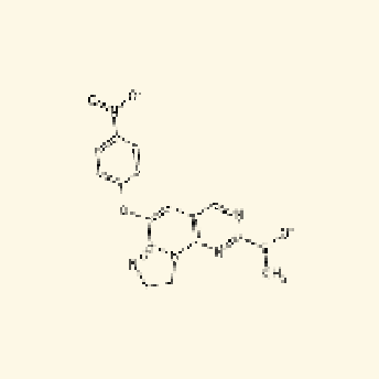 C[S+]([O-])c1ncc2c(n1)N1CCN=C1C(Oc1ccc([N+](=O)[O-])cc1)=C2